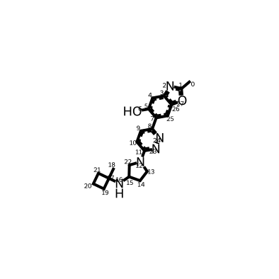 Cc1nc2cc(O)c(-c3ccc(N4CCC(NC5(C)CCC5)C4)nn3)cc2o1